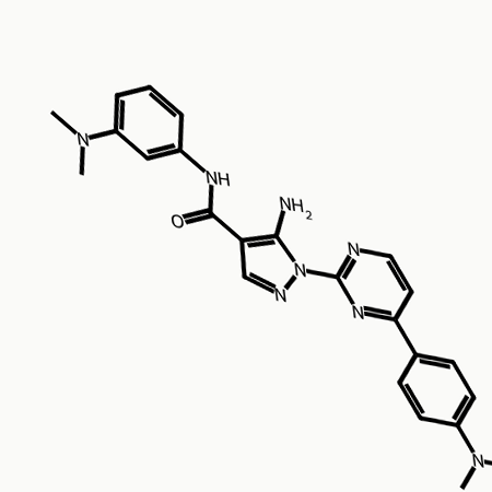 CN(C)c1ccc(-c2ccnc(-n3ncc(C(=O)Nc4cccc(N(C)C)c4)c3N)n2)cc1